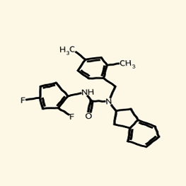 Cc1ccc(CN(C(=O)Nc2ccc(F)cc2F)C2Cc3ccccc3C2)c(C)c1